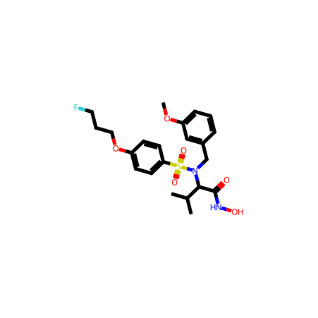 COc1cccc(CN(C(C(=O)NO)C(C)C)S(=O)(=O)c2ccc(OCCCF)cc2)c1